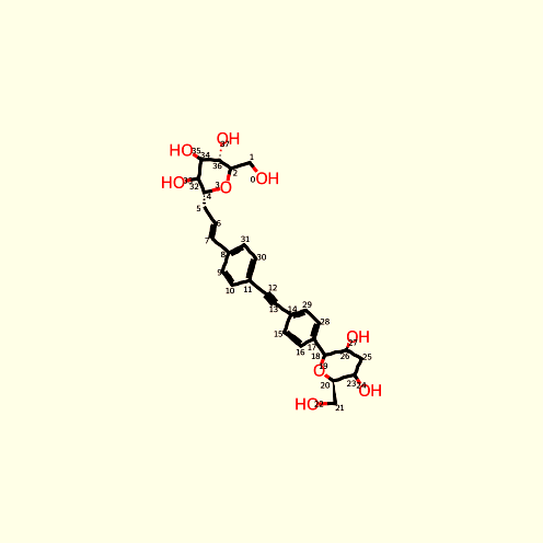 OCC1O[C@H](C/C=C/c2ccc(C#Cc3ccc(C4O[C@H](CO)C(O)C[C@@H]4O)cc3)cc2)C(O)C(O)[C@@H]1O